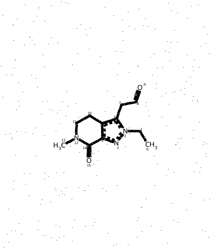 CCn1nc2c(c1CC=O)CCN(C)C2=O